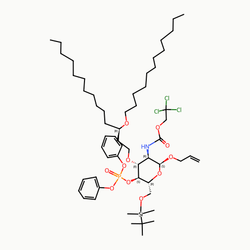 C=CCO[C@H]1O[C@H](CO[Si](C)(C)C(C)(C)C)[C@@H](OP(=O)(Oc2ccccc2)Oc2ccccc2)[C@H](OCC[C@@H](CCCCCCCCCCC)OCCCCCCCCCCCC)[C@H]1NC(=O)OCC(Cl)(Cl)Cl